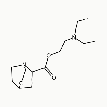 CCN(CC)CCOC(=O)C1CC2CCN1CC2